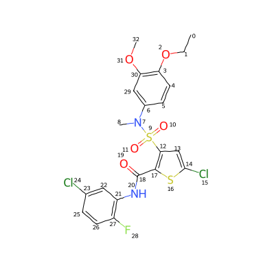 CCOc1ccc(N(C)S(=O)(=O)c2cc(Cl)sc2C(=O)Nc2cc(Cl)ccc2F)cc1OC